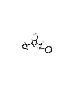 CC(C)Cc1sc(-c2nccs2)nc1C(=O)Nc1ccccc1